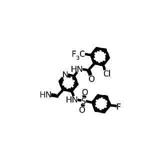 N=Cc1cnc(NC(=O)c2c(Cl)cccc2C(F)(F)F)cc1NS(=O)(=O)c1ccc(F)cc1